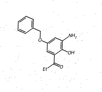 CCC(=O)c1cc(OCc2ccccc2)cc(N)c1O